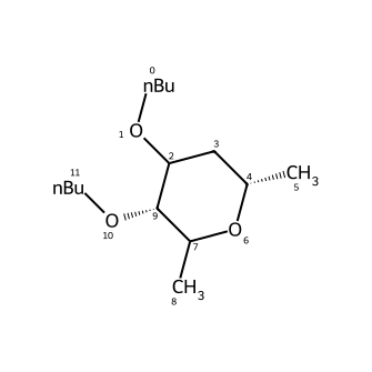 CCCCOC1C[C@H](C)OC(C)[C@@H]1OCCCC